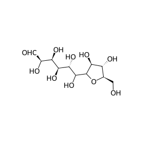 O=C[C@H](O)[C@@H](O)[C@H](O)[C@H](O)C(O)C1O[C@H](CO)[C@@H](O)[C@@H]1O